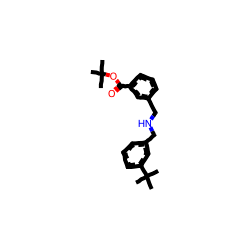 CC(C)(C)OC(=O)c1cccc(CNCc2cccc(C(C)(C)C)c2)c1